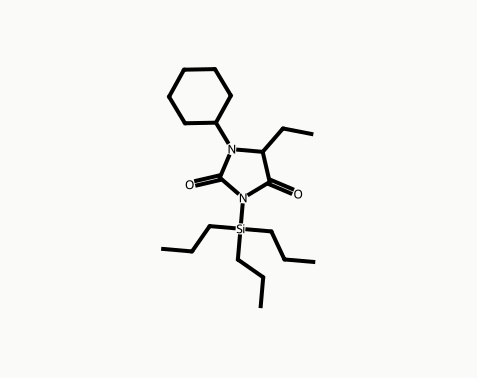 CCC[Si](CCC)(CCC)N1C(=O)C(CC)N(C2CCCCC2)C1=O